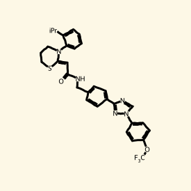 CC(C)c1ccccc1N1CCCS/C1=C\C(=O)NCc1ccc(-c2ncn(-c3ccc(OC(F)(F)F)cc3)n2)cc1